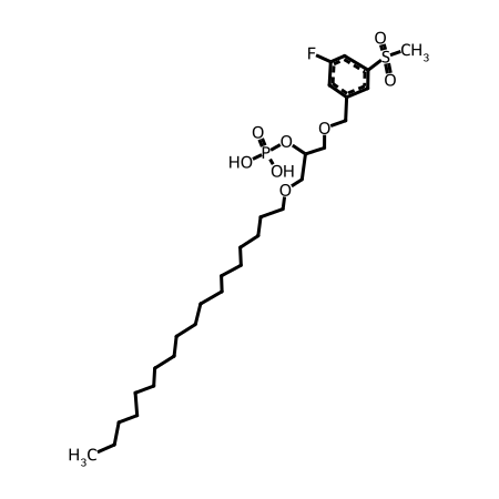 CCCCCCCCCCCCCCCCCCOCC(COCc1cc(F)cc(S(C)(=O)=O)c1)OP(=O)(O)O